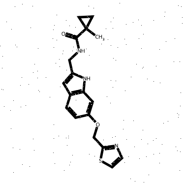 CC1(C(=O)NCc2cc3ccc(OCc4nccs4)cc3[nH]2)CC1